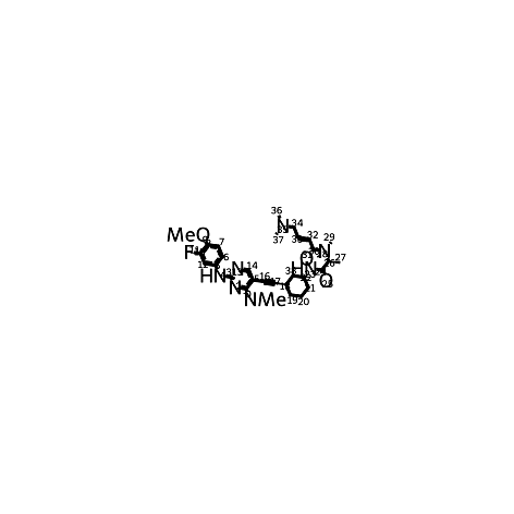 CNc1nc(Nc2ccc(OC)c(F)c2)ncc1C#C[C@@H]1CCC[C@H](NC(=O)[C@H](C)N(C)C(=O)C=CCN(C)C)C1